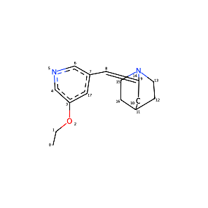 CCOc1cncc(/C=C2\CC3CCN2CC3)c1